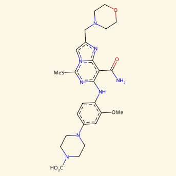 COc1cc(N2CCN(C(=O)O)CC2)ccc1Nc1nc(SC)n2cc(CN3CCOCC3)nc2c1C(N)=O